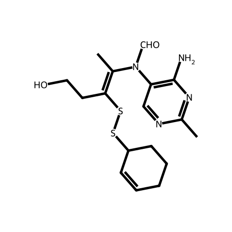 C/C(=C(\CCO)SSC1C=CCCC1)N(C=O)c1cnc(C)nc1N